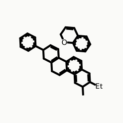 C1=Cc2ccccc2OC1.CCC1=Cc2ccc3c(c2=CC1C)=CCC1=C3C=CC(c2ccccc2)C1